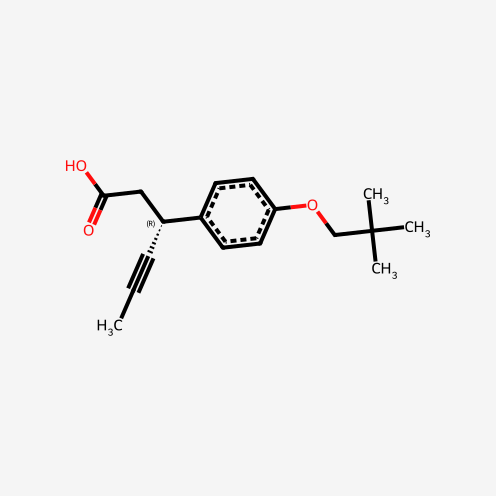 CC#C[C@H](CC(=O)O)c1ccc(OCC(C)(C)C)cc1